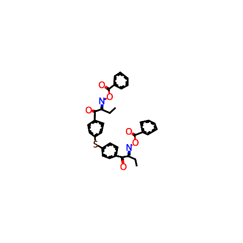 CC/C(=N\OC(=O)c1ccccc1)C(=O)c1ccc(Sc2ccc(C(=O)/C(CC)=N/OC(=O)c3ccccc3)cc2)cc1